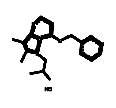 Cc1c(C)n(CC(C)C)c2c(OCc3cccnc3)ccnc12.Cl